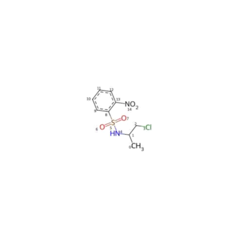 CC(CCl)NS(=O)(=O)c1ccccc1[N+](=O)[O-]